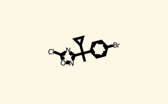 CC(c1ccc(Br)cc1)(c1noc(Cl)n1)C1CC1